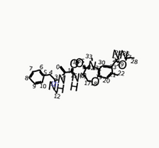 C=C(N/C(Cc1ccccc1)=N\C)C(=O)N[C@H]1COc2cc(C)c(-c3nnc(C)o3)cc2N(C)C1=O